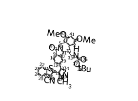 COc1ccc(CN2C(=O)c3ccc(-c4cnn(C)c4-c4sc5ccccc5c4C#N)cc3C2CCNC(=O)OC(C)(C)C)c(OC)c1